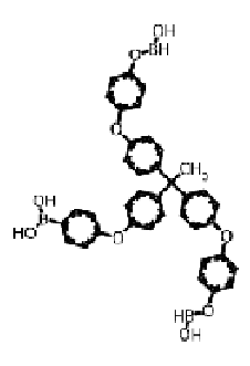 CC(c1ccc(Oc2ccc(OBO)cc2)cc1)(c1ccc(Oc2ccc(OBO)cc2)cc1)c1ccc(Oc2ccc(B(O)O)cc2)cc1